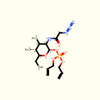 C=CCOP(=O)(OCC=C)O[C@H]1OC(COC(C)=O)[C@H](OC(C)=O)C(OC(C)=O)C1NC(=O)CN=[N+]=[N-]